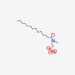 CCCCCCCCCCCCCC(=O)N(CC)CCS(=O)(=O)O